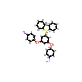 Ic1ccc(Oc2cc(Oc3ccc(I)cc3)cc([SH]3c4ccccc4-c4ccccc43)c2)cc1